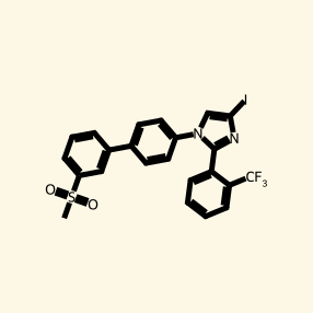 CS(=O)(=O)c1cccc(-c2ccc(-n3cc(I)nc3-c3ccccc3C(F)(F)F)cc2)c1